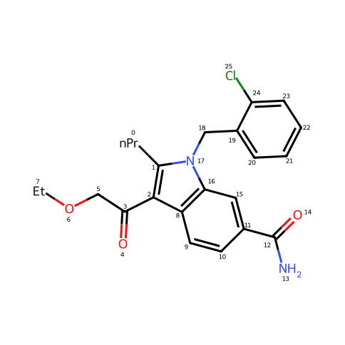 CCCc1c(C(=O)COCC)c2ccc(C(N)=O)cc2n1Cc1ccccc1Cl